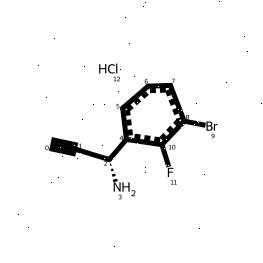 C#C[C@@H](N)c1cccc(Br)c1F.Cl